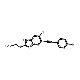 O=C(O)CSc1nc2cc(C#Cc3ccc(Br)cc3)c(Cl)cc2[nH]1